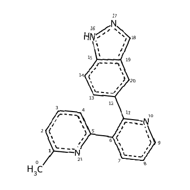 Cc1cccc(-c2cccnc2-c2ccc3[nH]ncc3c2)n1